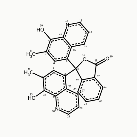 Cc1cc(C2(c3cc(C)c(O)c4ncccc34)OC(=O)c3ccccc32)c2cccnc2c1O